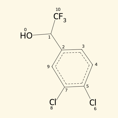 OC(c1ccc(Cl)c(Cl)c1)C(F)(F)F